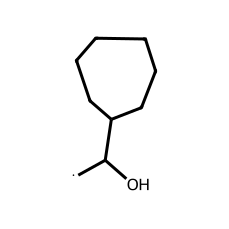 [CH2]C(O)C1CCCCCC1